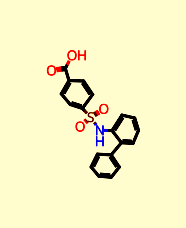 O=C(O)c1ccc(S(=O)(=O)Nc2ccccc2-c2ccccc2)cc1